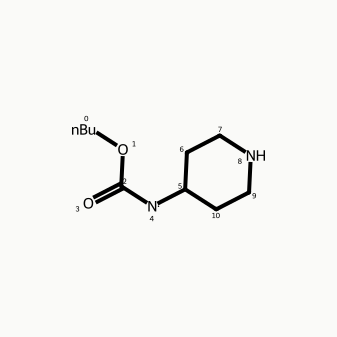 CCCCOC(=O)[N]C1CCNCC1